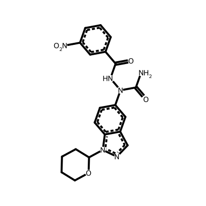 NC(=O)N(NC(=O)c1cccc([N+](=O)[O-])c1)c1ccc2c(cnn2C2CCCCO2)c1